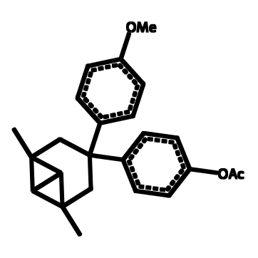 COc1ccc(C2(c3ccc(OC(C)=O)cc3)CC3(C)C4C3C4(C)C2)cc1